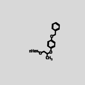 CCCCCCOCC(C)Oc1ccc(OCc2ccccc2)cc1